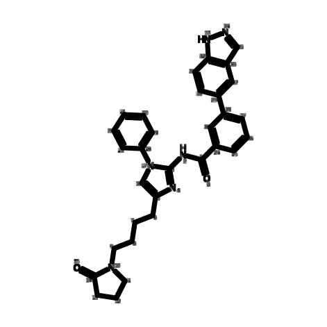 O=C(Nc1nc(CCCCN2CCCC2=O)cn1-c1ccccc1)c1cccc(-c2ccc3[nH]ncc3c2)c1